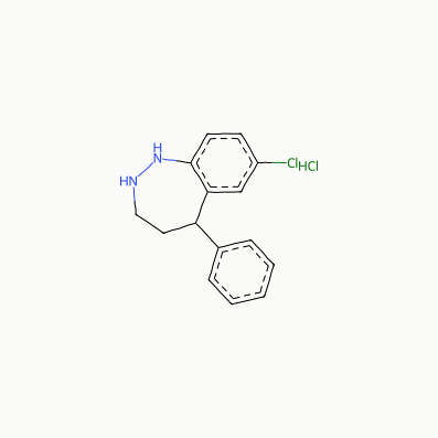 Cl.Clc1ccc2c(c1)C(c1ccccc1)CCNN2